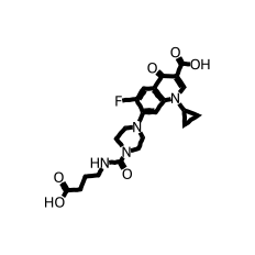 O=C(O)CCCNC(=O)N1CCN(c2cc3c(cc2F)c(=O)c(C(=O)O)cn3C2CC2)CC1